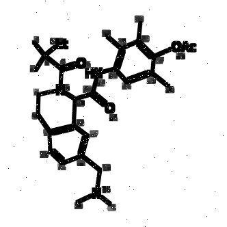 CCC(C)(C)C(=O)N1CCc2ccc(CN(C)C)cc2C1C(=O)Nc1cc(C)c(OC(C)=O)c(C)c1C